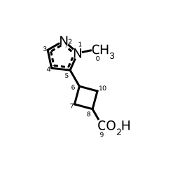 Cn1nccc1C1CC(C(=O)O)C1